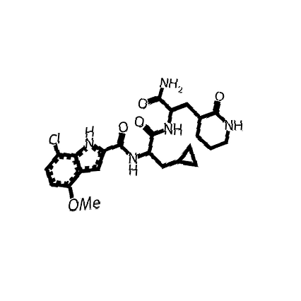 COc1ccc(Cl)c2[nH]c(C(=O)NC(CC3CC3)C(=O)NC(CC3CCCNC3=O)C(N)=O)cc12